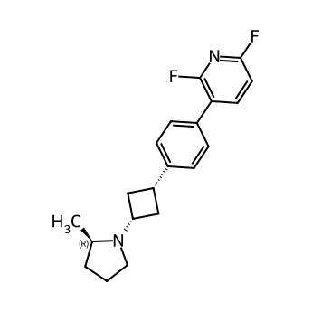 C[C@@H]1CCCN1[C@H]1C[C@@H](c2ccc(-c3ccc(F)nc3F)cc2)C1